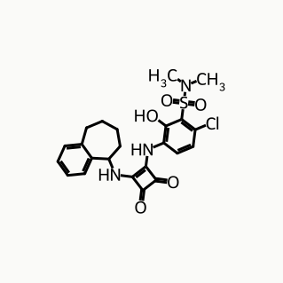 CN(C)S(=O)(=O)c1c(Cl)ccc(Nc2c(NC3CCCCc4ccccc43)c(=O)c2=O)c1O